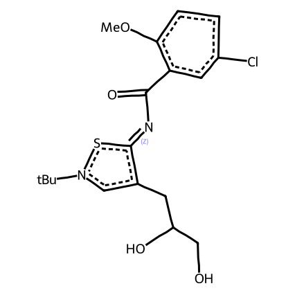 COc1ccc(Cl)cc1C(=O)/N=c1\sn(C(C)(C)C)cc1CC(O)CO